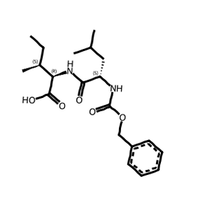 CC[C@H](C)[C@@H](NC(=O)[C@H](CC(C)C)NC(=O)OCc1ccccc1)C(=O)O